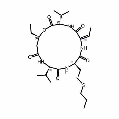 C/C=C1/NC(=O)[C@@H](CSSCCC)NC(=O)[C@@H](C(C)C)NC(=O)C[C@@H](CC)OC(=O)[C@H](C(C)C)NC1=O